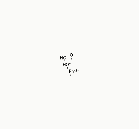 [OH-].[OH-].[OH-].[Pm+3]